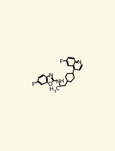 CC(CC1CCC(c2ccnc3ccc(F)cc23)CC1)Nc1nc2ccc(F)cc2o1